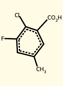 Cc1cc(F)c(Cl)c(C(=O)O)c1